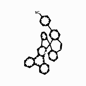 N#Cc1ccc(-c2ccc3c(c2)C2(c4ccccc4C=C3)c3ccccc3-c3cc4c5ccccc5c5ccccc5c4cc32)cc1